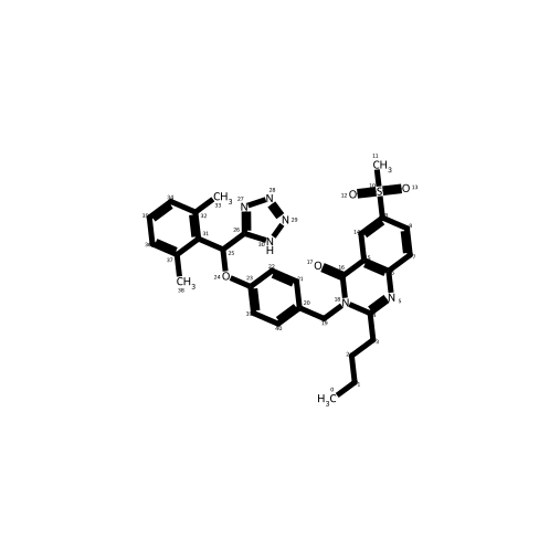 CCCCc1nc2ccc(S(C)(=O)=O)cc2c(=O)n1Cc1ccc(OC(c2nnn[nH]2)c2c(C)cccc2C)cc1